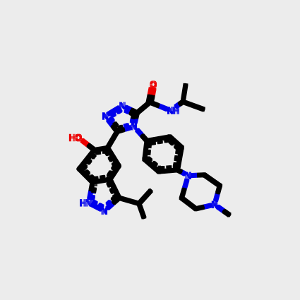 CC(C)NC(=O)c1nnc(-c2cc3c(C(C)C)n[nH]c3cc2O)n1-c1ccc(N2CCN(C)CC2)cc1